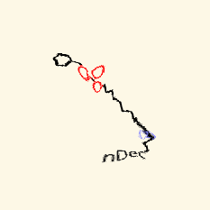 CCCCCCCCCCCC/C=C\CCCCCCCCOC(=O)OCc1ccccc1